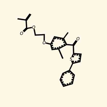 C=C(C)C(=O)OCCOc1cc(C)c(C(=O)c2ccc(-c3ccccc3)s2)c(C)c1